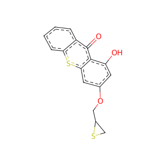 O=c1c2ccccc2sc2cc(OCC3CS3)cc(O)c12